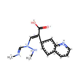 CN=CN(/C=C(/C(=O)O)c1ccc2cccnc2c1)NC